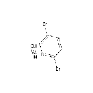 Brc1ccc(Br)nc1.C#N